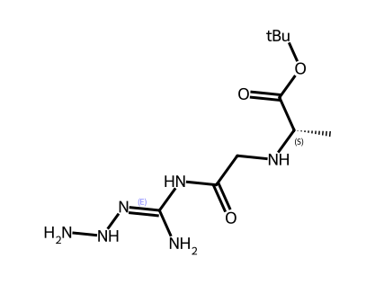 C[C@H](NCC(=O)N/C(N)=N/NN)C(=O)OC(C)(C)C